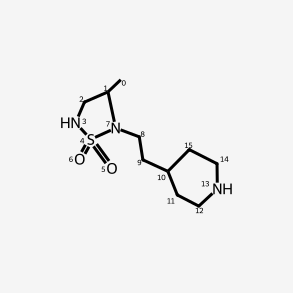 CC1CNS(=O)(=O)N1CCC1CCNCC1